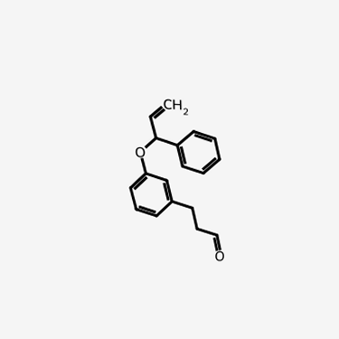 C=CC(Oc1cccc(CCC=O)c1)c1ccccc1